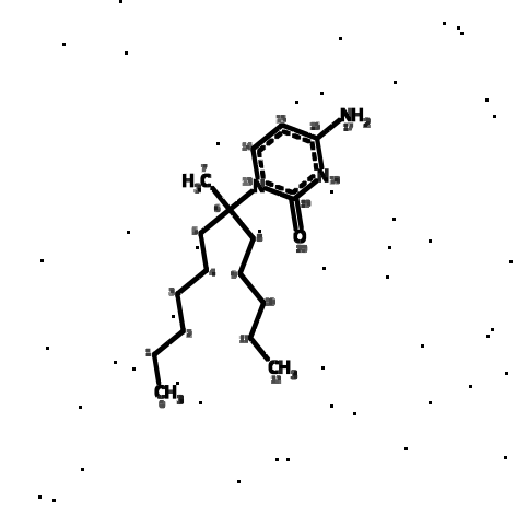 CCCCCCC(C)(CCCCC)n1ccc(N)nc1=O